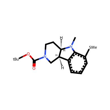 CSc1cccc2c1N(C)[C@@H]1CCN(C(=O)OC(C)(C)C)C[C@H]21